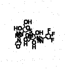 OCC1O[C@@H](SC2O[C@H](CO)C(O)C(n3cc(N4CCOCC4)nn3)[C@H]2O)[C@@H](O)C(n2cc(-c3cc(F)c(F)c(F)c3)nn2)[C@H]1O